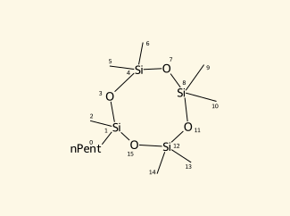 CCCCC[Si]1(C)O[Si](C)(C)O[Si](C)(C)O[Si](C)(C)O1